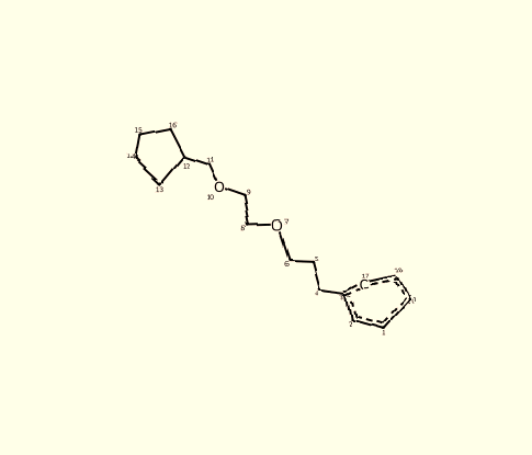 [c]1ccc(CCCOCCOCC2CCCC2)cc1